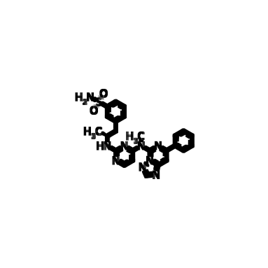 C[C@@H](Cc1cccc(S(N)(=O)=O)c1)Nc1nccc(N(C)c2nc(-c3ccccc3)cc3ncnn23)n1